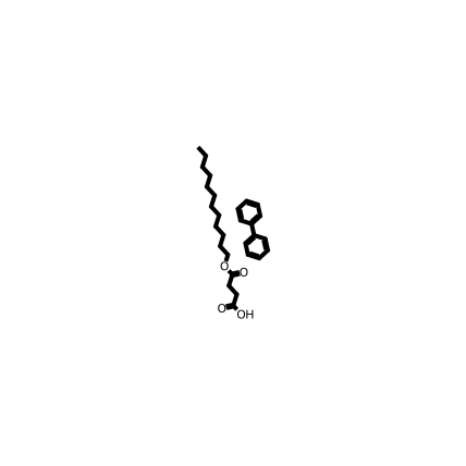 CCCCCCCCCCCCOC(=O)CCC(=O)O.c1ccc(-c2ccccc2)cc1